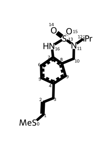 CSC=CCc1ccc2c(c1)CN(C(C)C)S(=O)(=O)N2